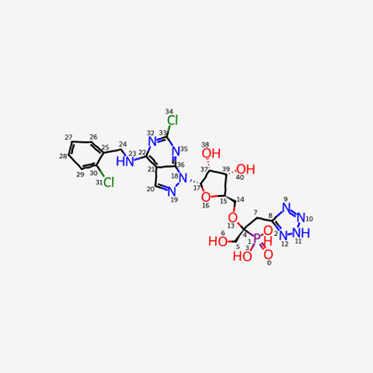 O=P(O)(O)[C@@](CO)(Cc1nn[nH]n1)OC[C@H]1O[C@H](n2ncc3c(NCc4ccccc4Cl)nc(Cl)nc32)[C@H](O)[C@@H]1O